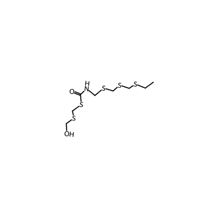 CCSCSCSCNC(=O)SCSCO